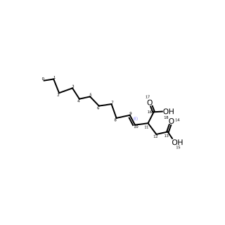 CCCCCCCCC/C=C/C(CC(=O)O)C(=O)O